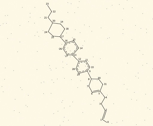 CC=CCCC1=CCC(c2ccc(-c3ccc(C4CCC(CCC)CC4)cc3)cc2)CC1